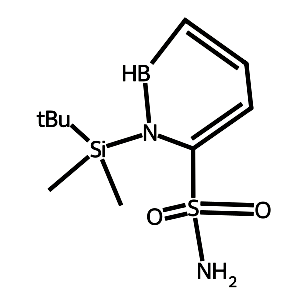 CC(C)(C)[Si](C)(C)N1BC=CC=C1S(N)(=O)=O